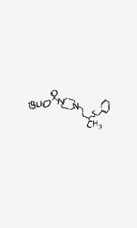 CC(CCN1CCN(C(=O)OC(C)(C)C)CC1)SCc1ccccc1